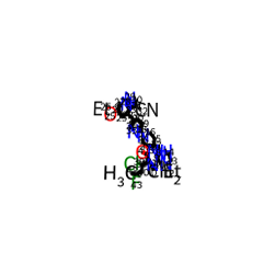 C=N/C(C(=O)NC1(CN2CCN(CC)CC2)CCN(c2ccc(-c3cc(OCC)cn4ncc(C#N)c34)cn2)CC1)=C(Cl)\C=C(/C)F